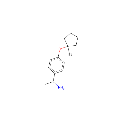 CCC1(Oc2ccc(C(C)N)cc2)CCCC1